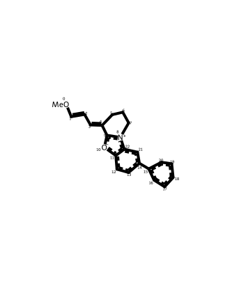 COC=CC=C1CCC[n+]2c1oc1ccc(-c3ccccc3)cc12